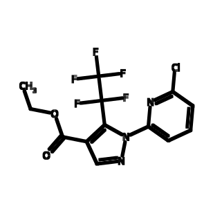 CCOC(=O)c1cnn(-c2cccc(Cl)n2)c1C(F)(F)C(F)(F)F